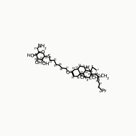 CC(C)CCC[C@@H](C)[C@H]1CC[C@H]2C3CCC4CC(OCCCCCCSC5O[C@H](CN)[C@@H](O)[C@H](O)[C@@H]5O)=CC[C@]4(C)C3CC[C@]12C